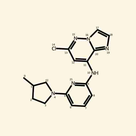 CC1CCN(c2cccc(Nc3cc(Cl)nn4ccnc34)n2)C1